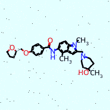 Cc1c(NC(=O)c2ccc(OC[C@@H]3CCCO3)cc2)ccc2c1cc(CN1CCC(C)(O)CC1)n2C